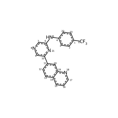 FC(F)(F)c1ccc(Nc2cncc(-c3ccc4cccnc4c3)n2)cc1